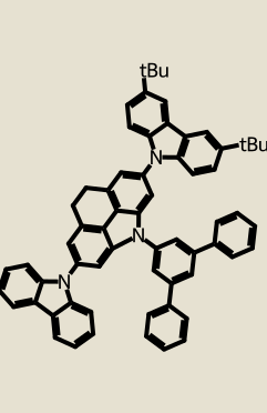 CC(C)(C)c1ccc2c(c1)c1cc(C(C)(C)C)ccc1n2-c1cc2c3c4c(cc(-n5c6ccccc6c6ccccc65)cc4n(-c4cc(-c5ccccc5)cc(-c5ccccc5)c4)c3c1)CC2